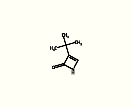 CC(C)(C)C1=CNC1=O